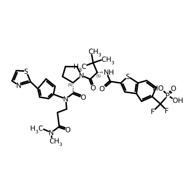 CN(C)C(=O)CCN(C(=O)[C@@H]1CCCN1C(=O)[C@@H](NC(=O)c1cc2cc(C(F)(F)P(=O)(O)O)ccc2s1)C(C)(C)C)c1ccc(-c2nccs2)cc1